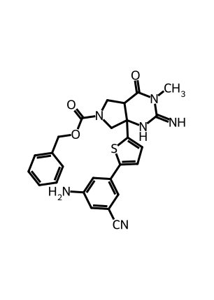 CN1C(=N)NC2(c3ccc(-c4cc(N)cc(C#N)c4)s3)CN(C(=O)OCc3ccccc3)CC2C1=O